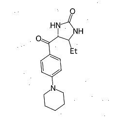 CCC1NC(=O)NC1C(=O)c1ccc(N2CCCCC2)cc1